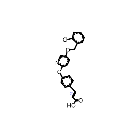 O=C(O)/C=C/c1ccc(Oc2ccc(OCc3ccccc3Cl)cn2)cc1